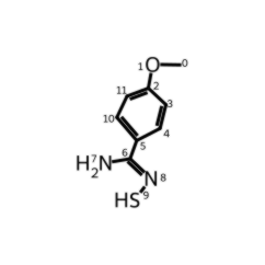 COc1ccc(/C(N)=N/S)cc1